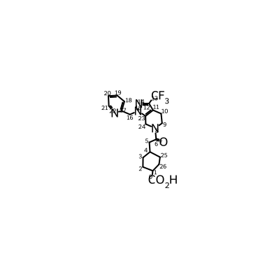 O=C(O)C1CCC(CC(=O)N2CCc3c(C(F)(F)F)nn(Cc4ccccn4)c3C2)CC1